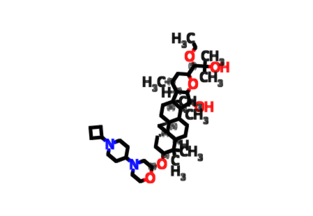 CCO[C@@H](C1C[C@@H](C)[C@H]2C(O1)[C@H](O)[C@@]1(C)C3CC[C@H]4C(C)(C)[C@@H](O[C@H]5CN(C6CCN(C7CCC7)CC6)CCO5)CC[C@@]45C[C@@]35CC[C@]21C)C(C)(C)O